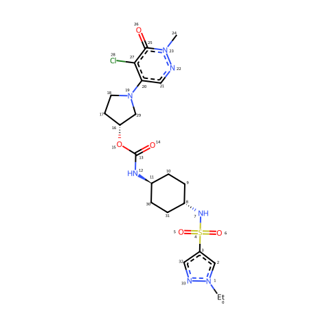 CCn1cc(S(=O)(=O)N[C@H]2CC[C@H](NC(=O)O[C@@H]3CCN(c4cnn(C)c(=O)c4Cl)C3)CC2)cn1